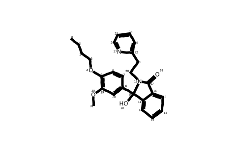 CCCCOc1ccc(C2(O)c3ccccc3C(=O)N2CCc2ccccn2)cc1OC